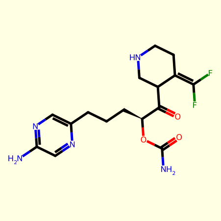 NC(=O)O[C@@H](CCCc1cnc(N)cn1)C(=O)C1CNCCC1=C(F)F